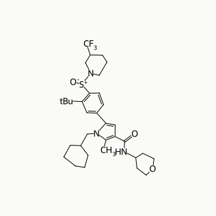 Cc1c(C(=O)NC2CCOCC2)cc(-c2ccc([S+]([O-])N3CCCC(C(F)(F)F)C3)c(C(C)(C)C)c2)n1CC1CCCCC1